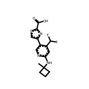 CC1(Nc2cc(C(F)F)c(-c3csc(C(=O)O)n3)cn2)CCC1